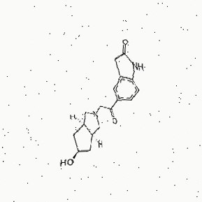 O=C1Cc2cc(C(=O)CN3C[C@H]4C[C@@H](O)C[C@H]4C3)ccc2N1